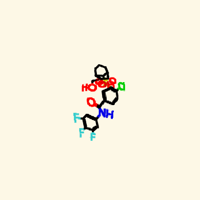 O=C(Nc1cc(F)c(F)c(F)c1)c1ccc(Cl)c(S(=O)(=O)C2C3CCCC2C(O)(CO)C3)c1